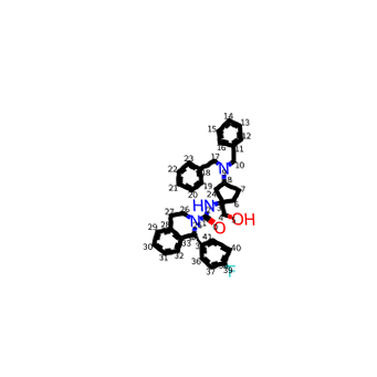 O=C(NC1(CO)CCC(N(Cc2ccccc2)Cc2ccccc2)C1)N1CCc2ccccc2[C@@H]1c1ccc(F)cc1